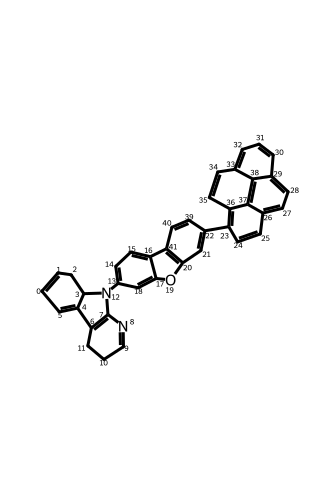 C1=CCC2C(=C1)C1=C(N=CCC1)N2c1ccc2c(c1)oc1cc(-c3ccc4ccc5cccc6ccc3c4c56)ccc12